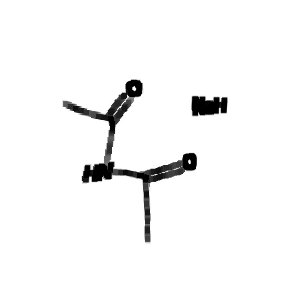 CC(=O)NC(C)=O.[NaH]